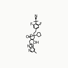 Cc1cnc2nc(CC3=C(O)CC(CCc4cc(F)c(C(C)(C)C#N)c(F)c4)(C4CCCC4)OC3=O)nn2c1